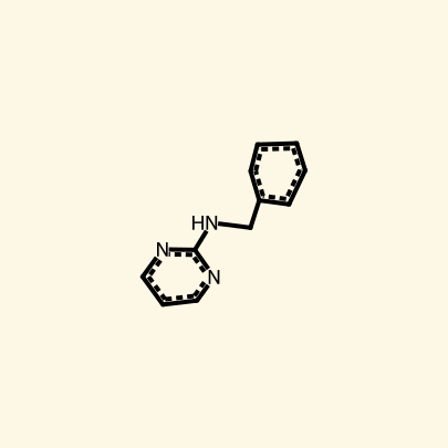 c1ccc(CNc2ncccn2)cc1